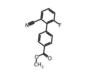 COC(=O)c1ccc(-c2c(F)cccc2C#N)cc1